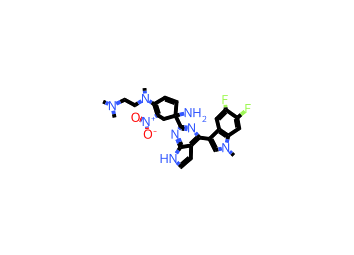 CN(C)CCN(C)C1=C([N+](=O)[O-])CC(N)(c2nc(-c3cn(C)c4cc(F)c(F)cc34)c3cc[nH]c3n2)C=C1